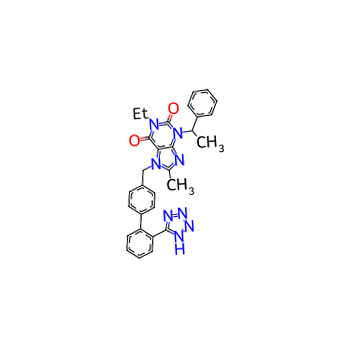 CCn1c(=O)c2c(nc(C)n2Cc2ccc(-c3ccccc3-c3nnn[nH]3)cc2)n(C(C)c2ccccc2)c1=O